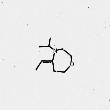 C/C=C1\CCOCCN1C(C)C